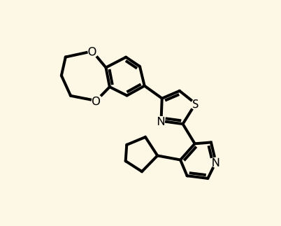 c1cc(C2CCCC2)c(-c2nc(-c3ccc4c(c3)OCCCO4)cs2)cn1